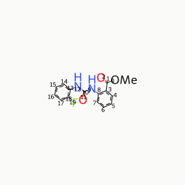 COC(=O)c1ccccc1NC(=O)Nc1ccccc1F